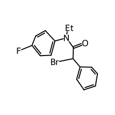 CCN(C(=O)C(Br)c1ccccc1)c1ccc(F)cc1